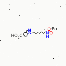 CC(C)(C)OC(=O)NCCCCCCCCn1ncc2cc(C(=O)O)ccc21